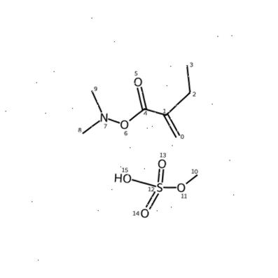 C=C(CC)C(=O)ON(C)C.COS(=O)(=O)O